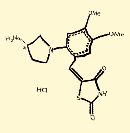 COc1cc(C=C2SC(=O)NC2=O)c(N2CC[C@H](N)C2)cc1OC.Cl